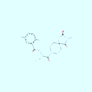 Cc1ccc(F)c(C(=O)N[C@@H](C(=O)N2CCC3(CC2)NC(=O)N(C)C3=O)C(C)C)c1